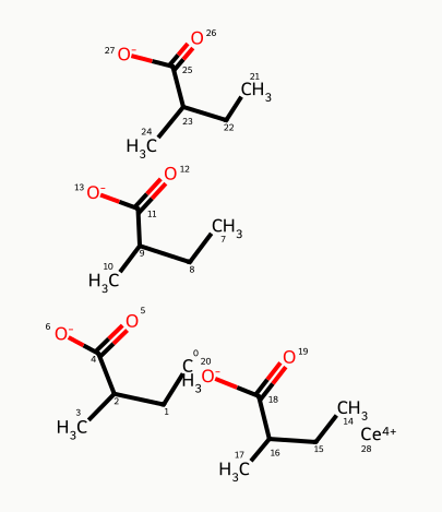 CCC(C)C(=O)[O-].CCC(C)C(=O)[O-].CCC(C)C(=O)[O-].CCC(C)C(=O)[O-].[Ce+4]